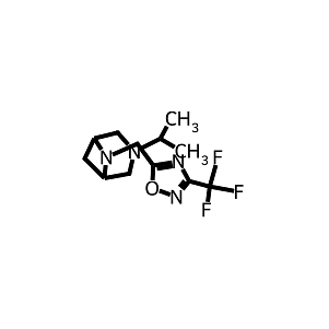 CC(C)N1CC2CC(C1)N2Cc1nc(C(F)(F)F)no1